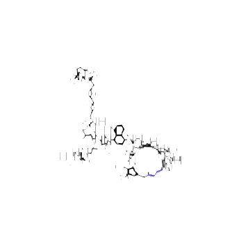 COc1cc2cc(c1Cl)N(C)C(=O)C[C@H](OC(=O)Nc1ccc(NC(=O)[C@H](CCCNC(N)=O)NC(=O)[C@@H](NC(=S)NCCOCCOCCC(=O)ON3C(=O)CCC3=O)C(C)C)c3ncccc13)[C@]1(C)O[C@H]1[C@H](C)[C@@H]1C[C@@](O)(NC(=O)O1)[C@H](OC)/C=C/C=C(\C)C2